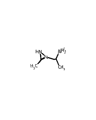 CC(N)N1NC1C